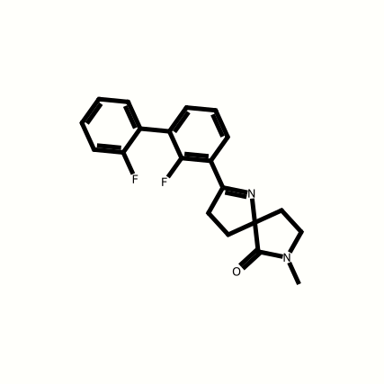 CN1CCC2(CCC(c3cccc(-c4ccccc4F)c3F)=N2)C1=O